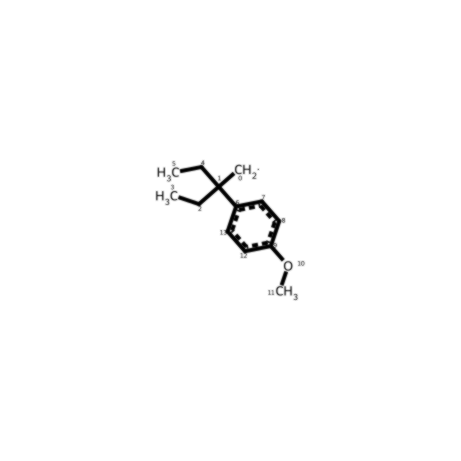 [CH2]C(CC)(CC)c1ccc(OC)cc1